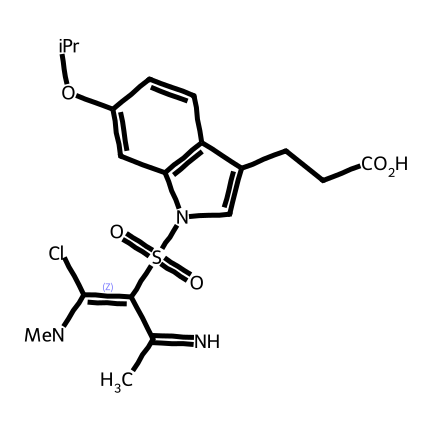 CN/C(Cl)=C(\C(C)=N)S(=O)(=O)n1cc(CCC(=O)O)c2ccc(OC(C)C)cc21